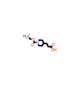 CCOC(=O)N1CCC(CCC(=O)O)CC1